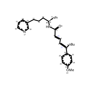 CCCC/C(=C\C=C\C(=O)N[C@H](CCC)CCCc1cccnc1)c1ccc(OC)cc1